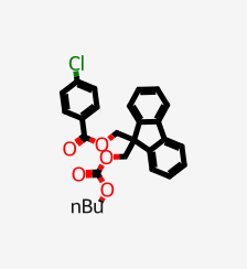 CCCCOC(=O)OCC1(COC(=O)c2ccc(Cl)cc2)c2ccccc2-c2ccccc21